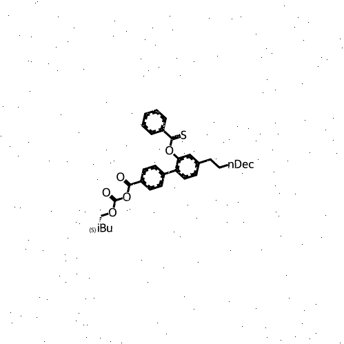 CCCCCCCCCCCCc1ccc(-c2ccc(C(=O)OC(=O)OC[C@@H](C)CC)cc2)c(OC(=S)c2ccccc2)c1